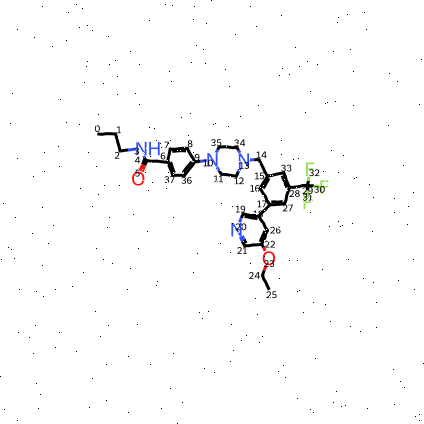 CCCNC(=O)c1ccc(N2CCN(Cc3cc(-c4cncc(OCC)c4)cc(C(F)(F)F)c3)CC2)cc1